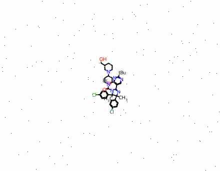 CCOc1nc(C(C)(C)C)ncc1C1=NC(C)(c2ccc(Cl)cc2)C(C)(c2ccc(Cl)cc2)N1C(=O)N1CCC(N2CCCC(CO)C2)CC1